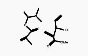 C=C(C)C(=O)OC(C)N(C)C.C=CC(O)C(=C)C(=O)OC